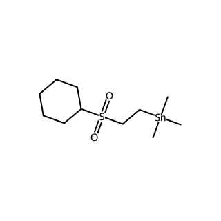 [CH3][Sn]([CH3])([CH3])[CH2]CS(=O)(=O)C1CCCCC1